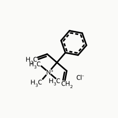 C=CC(C=C)(c1ccccc1)[N+](C)(C)C.[Cl-]